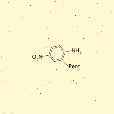 CCCC(C)c1cc([N+](=O)[O-])ccc1N